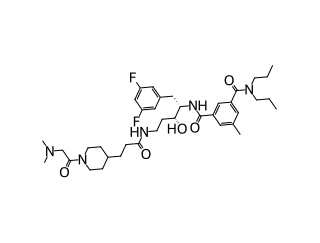 CCCN(CCC)C(=O)c1cc(C)cc(C(=O)N[C@@H](Cc2cc(F)cc(F)c2)[C@H](O)CCNC(=O)CCC2CCN(C(=O)CN(C)C)CC2)c1